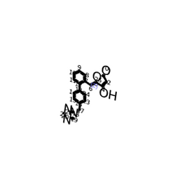 O=C1C=C(O)/C(=C/c2ccccc2-c2ccc(Cn3cncn3)cc2)O1